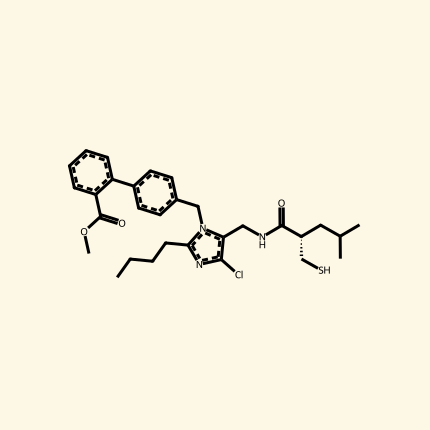 CCCCc1nc(Cl)c(CNC(=O)[C@@H](CS)CC(C)C)n1Cc1ccc(-c2ccccc2C(=O)OC)cc1